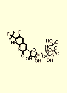 O=c1nc2[nH]c(C(F)(F)F)c(F)cc-2cc1[C@@H]1O[C@H](COP(=O)(O)OP(=O)(O)OP(=O)(O)O)[C@H](O)C1O